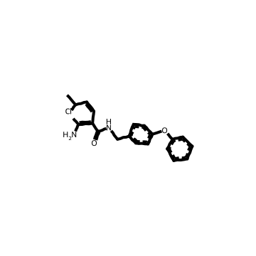 C/C(N)=C(\C=C/C(C)Cl)C(=O)NCc1ccc(Oc2ccccc2)cc1